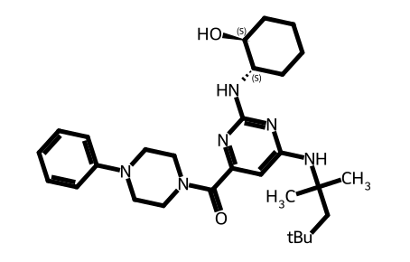 CC(C)(C)CC(C)(C)Nc1cc(C(=O)N2CCN(c3ccccc3)CC2)nc(N[C@H]2CCCC[C@@H]2O)n1